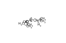 CC(CN(C)C)N1CCC(c2nc(-c3ccc4c(c3)C(C)(C)CCC4(C)C)cs2)CC1